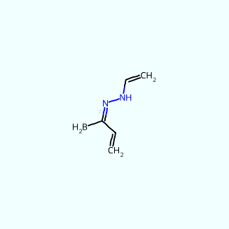 B/C(C=C)=N/NC=C